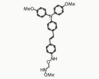 CONCONc1ccc(C=Cc2ccc(N(c3ccc(OC)cc3)c3ccc(OC)cc3)cc2)cc1